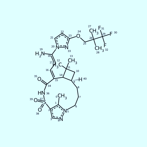 Cc1c2cnn1CCC[C@@H]1CC(C)(C)C1/C(=C\C=C(/N)n1ccc(OCC(C)(C)C(F)(F)F)n1)C(=O)NS2(=O)=O